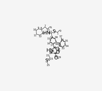 CCSC(NC(C)CC1CCCCC1)c1ccc(C(=O)N[C@@H](CCSC)C(=O)OC)c(-c2ccccc2C)c1